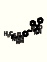 Cc1cnc(NC(=O)Nc2ccc(CCNc3ncnc4oc(-c5ccccc5)c(-c5ccccc5)c34)cc2)s1